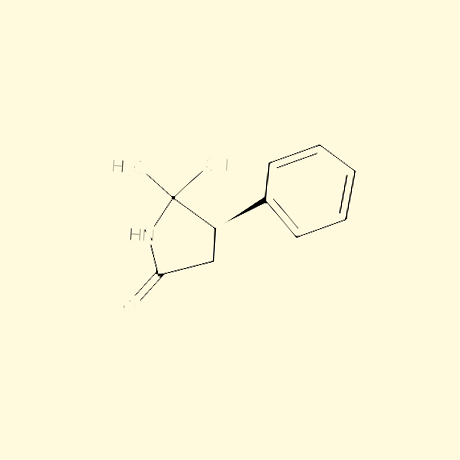 CC1(C)NC(=O)C[C@@H]1c1ccccc1